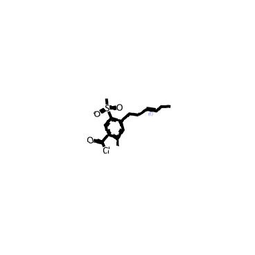 CC/C=C/CCc1cc(C)c(C(=O)Cl)cc1S(C)(=O)=O